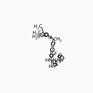 C=CCCC(C(=C)NC)c1ccc(N2CC(C(=C)N3CCN(C4CCN(c5ccc(Nc6nc(N7SN8CCc9cccc7c98)c7cc[nH]c7n6)cc5F)CC4)CC3)C2)cc1